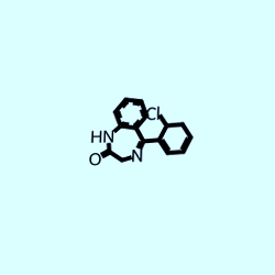 O=C1CN=C(C2=CC=CCC2Cl)c2ccccc2N1